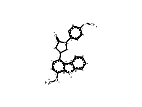 COc1ccc(N2CC(c3ccc(OC)c4oc5ccccc5c34)CC2=O)cc1